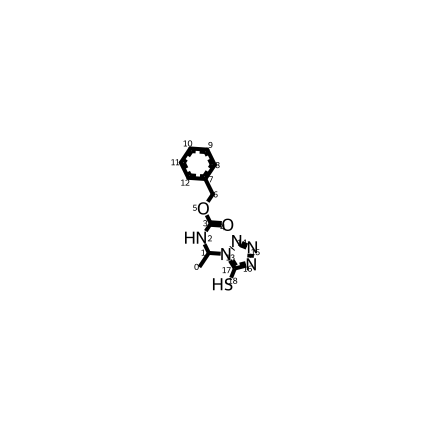 CC(NC(=O)OCc1ccccc1)n1nnnc1S